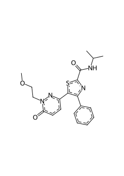 COCCn1nc(-c2sc(C(=O)NC(C)C)nc2-c2ccccc2)ccc1=O